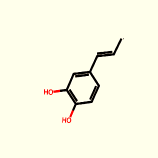 [CH2]C=Cc1ccc(O)c(O)c1